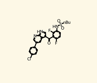 CCCCS(=O)(=O)Nc1ccc(F)c(C(=O)c2c[nH]c3ncc(-c4ccc(Cl)cc4)cc23)c1F